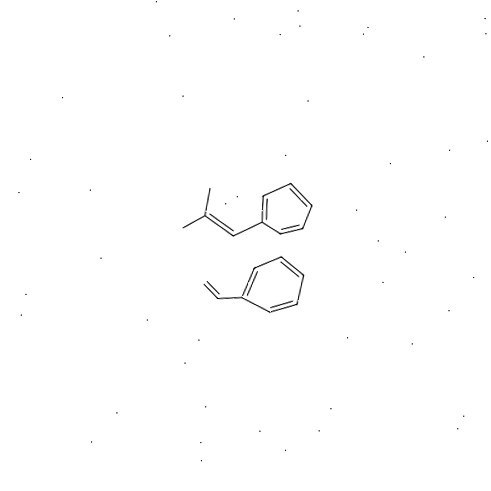 C=Cc1ccccc1.CC(C)=Cc1ccccc1